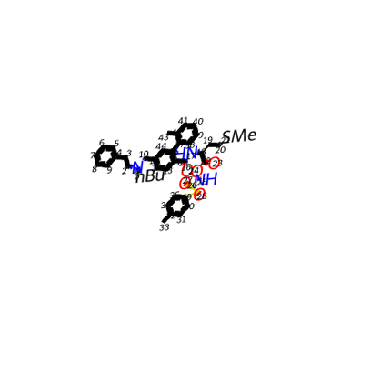 CCCCN(CCc1ccccc1)Cc1ccc(C(=O)N[C@@H](CCSC)C(=O)ONS(=O)(=O)c2ccc(C)cc2)c(-c2ccccc2C)c1